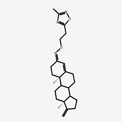 C=C1CCC2C3CCC4=CC(=NOCCc5nc(C)no5)CC[C@]4(C)C3CC[C@]12C